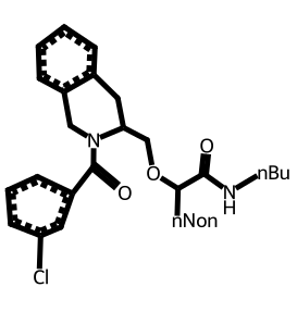 CCCCCCCCCC(OCC1Cc2ccccc2CN1C(=O)c1cccc(Cl)c1)C(=O)NCCCC